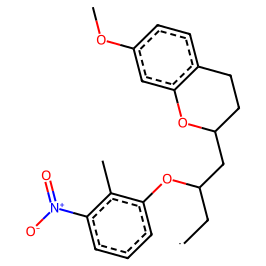 [CH2]CC(CC1CCc2ccc(OC)cc2O1)Oc1cccc([N+](=O)[O-])c1C